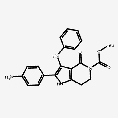 CC(C)(C)OC(=O)N1CCc2[nH]c(-c3ccc([N+](=O)[O-])cc3)c(Nc3ccccc3)c2C1=O